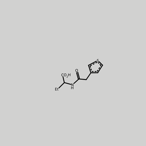 CCC(NC(=O)Cc1ccsc1)C(=O)O